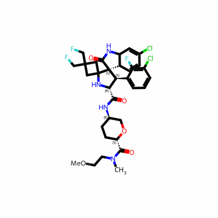 COCCN(C)C(=O)[C@@H]1CC[C@@H](NC(=O)[C@@H]2NC3(CC(CF)(CF)C3)[C@@]3(C(=O)NC4C=C(Cl)C=CC43)[C@H]2c2cccc(Cl)c2F)CO1